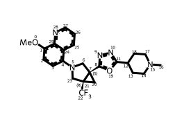 COc1ccc(N2C[C@]3(c4nnc(C5CCN(C)CC5)o4)C[C@]3(C(F)(F)F)C2)c2cccnc12